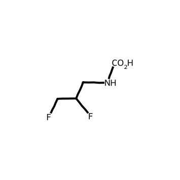 O=C(O)NCC(F)CF